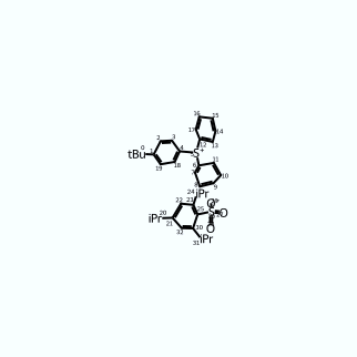 CC(C)(C)c1ccc([S+](c2ccccc2)c2ccccc2)cc1.CC(C)c1cc(C(C)C)c(S(=O)(=O)[O-])c(C(C)C)c1